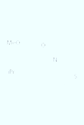 COC(=O)[C@H](Cc1cscn1)C(C)C